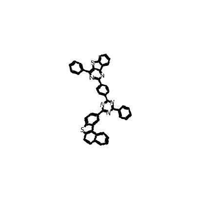 c1ccc(-c2nc(-c3ccc(-c4nc(-c5ccccc5)c5sc6ccccc6c5n4)cc3)nc(-c3ccc4sc5ccc6ccccc6c5c4c3)n2)cc1